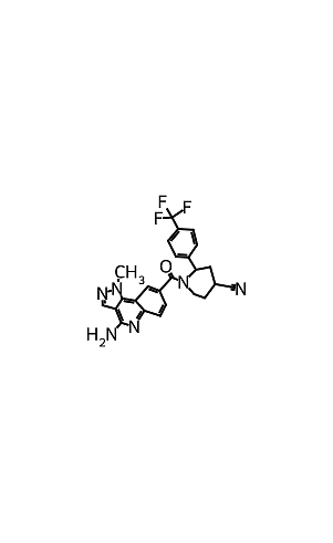 Cn1ncc2c(N)nc3ccc(C(=O)N4CCC(C#N)CC4c4ccc(C(F)(F)F)cc4)cc3c21